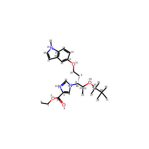 CCOC(=O)c1cn([C@H](CCOc2ccc3c(ccn3C)c2)[C@H](C)O[Si](C)(C)C(C)(C)C)cn1